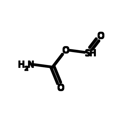 NC(=O)O[SH]=O